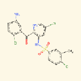 Cc1cc(S(=O)(=O)Nc2cc(Cl)cnc2C(=O)c2cc(N)ccc2Cl)ccc1Cl